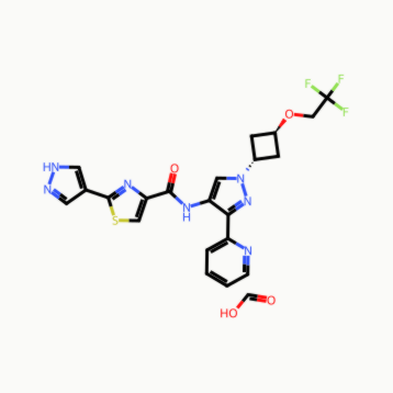 O=C(Nc1cn([C@H]2C[C@H](OCC(F)(F)F)C2)nc1-c1ccccn1)c1csc(-c2cn[nH]c2)n1.O=CO